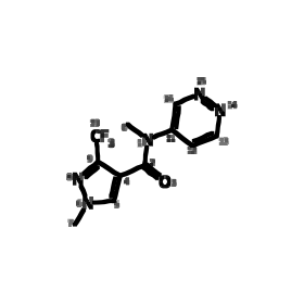 CN(C(=O)c1cn(C)nc1C(F)(F)F)c1ccnnc1